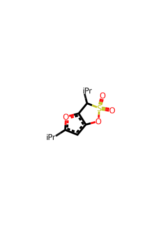 CC(C)c1cc2c(o1)C(C(C)C)S(=O)(=O)O2